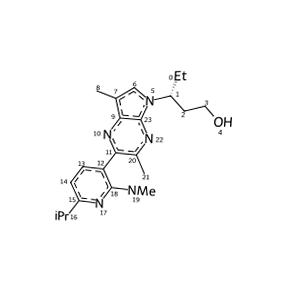 CC[C@H](CCO)n1cc(C)c2nc(-c3ccc(C(C)C)nc3NC)c(C)nc21